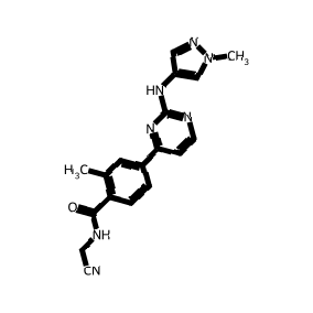 Cc1cc(-c2ccnc(Nc3cnn(C)c3)n2)ccc1C(=O)NCC#N